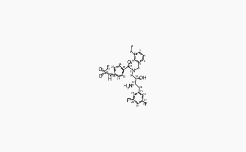 CCc1cccc(CN(C[C@@H](O)[C@@H](N)Cc2cc(F)cc(F)c2)C(=O)c2ccc(NS(=O)(=O)F)cc2)c1